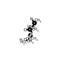 Cc1ccc(C(=O)Nc2cc(Cl)cc(CN3CCN(C(=O)OC(C)(C)C)C(C)C3)c2C)cc1C#N